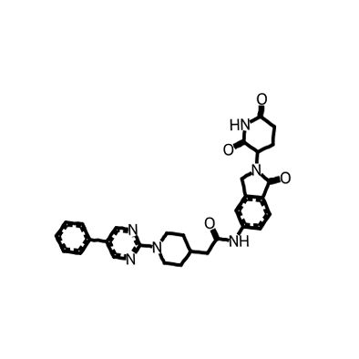 O=C1CCC(N2Cc3cc(NC(=O)CC4CCN(c5ncc(-c6ccccc6)cn5)CC4)ccc3C2=O)C(=O)N1